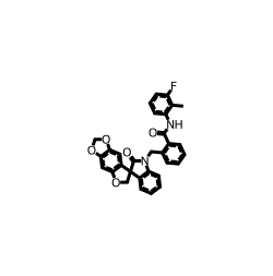 Cc1c(F)cccc1NC(=O)c1ccccc1CN1C(=O)C2(COc3cc4c(cc32)OCO4)c2ccccc21